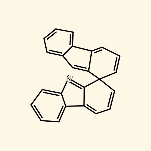 C1=CC2(C=CC=C3C2=[N+]c2ccccc23)C2=Cc3ccccc3C2=C1